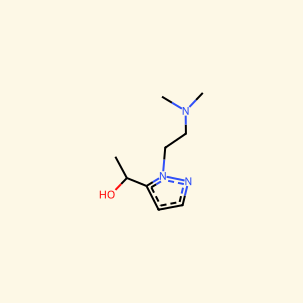 CC(O)c1ccnn1CCN(C)C